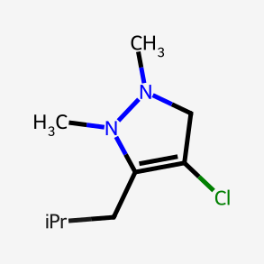 CC(C)CC1=C(Cl)CN(C)N1C